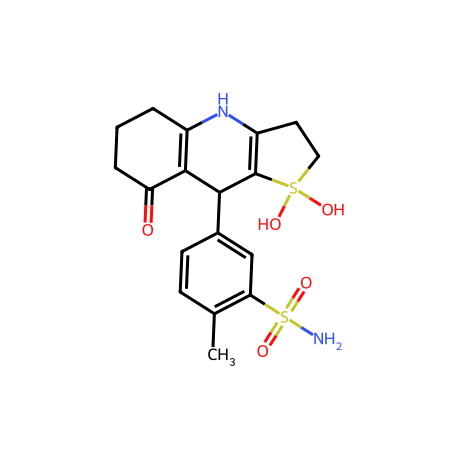 Cc1ccc(C2C3=C(CCCC3=O)NC3=C2S(O)(O)CC3)cc1S(N)(=O)=O